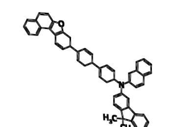 CC1(C)c2ccccc2-c2cc(N(c3ccc4ccccc4c3)C3C=CC(C4C=CC(C5C=Cc6c(oc7ccc8ccccc8c67)C5)=CC4)=CC3)ccc21